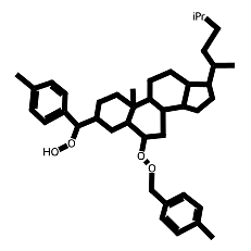 Cc1ccc(COOC2CC3C4CCC(C(C)CCC(C)C)C4CCC3C3(C)CCC(C(OO)c4ccc(C)cc4)CC23)cc1